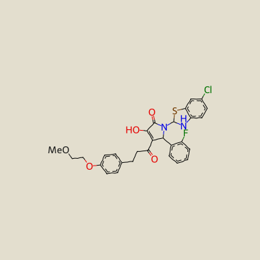 COCCOc1ccc(CCC(=O)C2=C(O)C(=O)N(C3Nc4ccc(Cl)cc4S3)C2c2ccccc2F)cc1